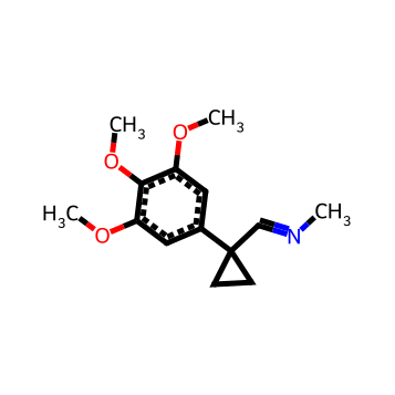 C/N=C/C1(c2cc(OC)c(OC)c(OC)c2)CC1